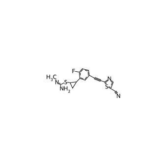 C/N=C(/N)SC1CC1c1cc(C#Cc2ncc(C#N)s2)ccc1F